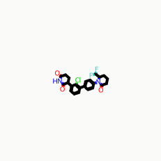 O=C1CCC(c2cccc(-c3ccc(N4C(=O)CCCC4C(F)F)cc3)c2Cl)C(=O)N1